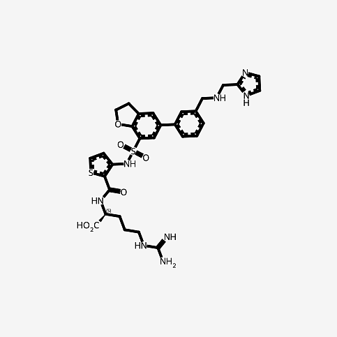 N=C(N)NCCC[C@H](NC(=O)c1sccc1NS(=O)(=O)c1cc(-c2cccc(CNCc3ncc[nH]3)c2)cc2c1OCC2)C(=O)O